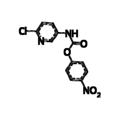 O=C(Nc1ccc(Cl)nc1)Oc1ccc([N+](=O)[O-])cc1